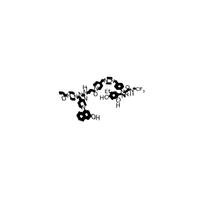 C=CC(=O)N1CCN(c2nc(NCCC(=O)N3CCC(CN4CCN(Cc5ccc(-n6c(C(=O)NCC(F)(F)F)nnc6-c6cc(CC)c(O)cc6O)cc5)CC4)CC3)nc3c2CCN(c2cc(O)cc4ccccc24)C3)CC1